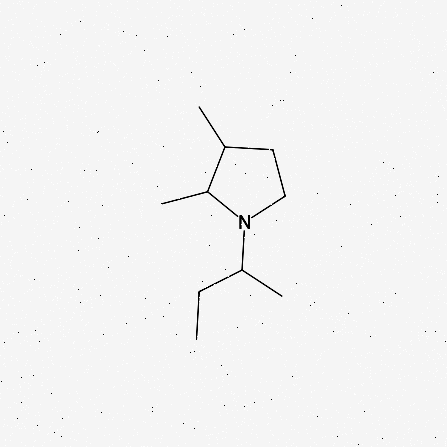 CCC(C)N1CCC(C)C1C